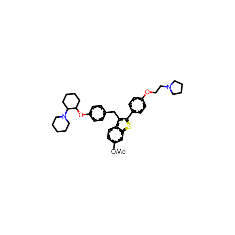 COc1ccc2c(Cc3ccc(OC4CCCCC4N4CCCCC4)cc3)c(-c3ccc(OCCN4CCCC4)cc3)sc2c1